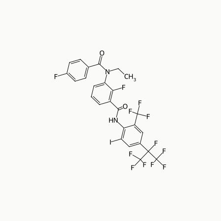 CCN(C(=O)c1ccc(F)cc1)c1cccc(C(=O)Nc2c(I)cc(C(F)(C(F)(F)F)C(F)(F)F)cc2C(F)(F)F)c1F